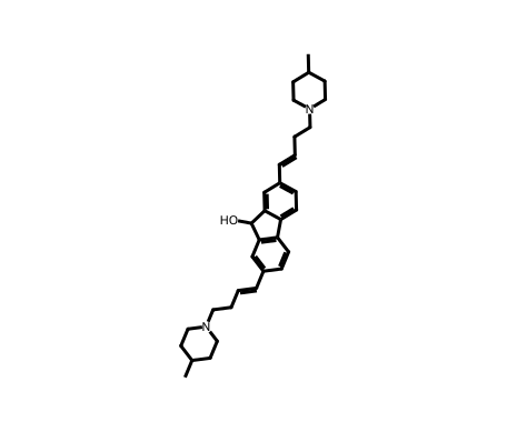 CC1CCN(CCC=Cc2ccc3c(c2)C(O)c2cc(C=CCCN4CCC(C)CC4)ccc2-3)CC1